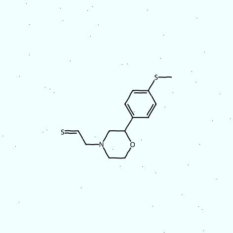 CSc1ccc(C2CN(CC=S)CCO2)cc1